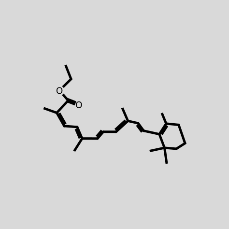 CCOC(=O)C(C)=CC=C(C)C=CC=C(C)C=CC1=C(C)CCCC1(C)C